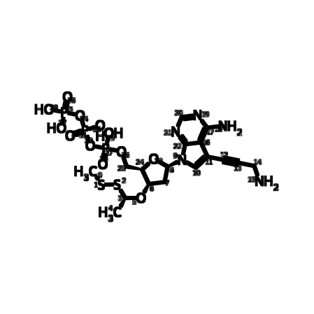 CSS[C@H](C)O[C@@H]1C[C@H](n2cc(C#CCN)c3c(N)ncnc32)O[C@@H]1COP(=O)(O)OP(=O)(O)OP(=O)(O)O